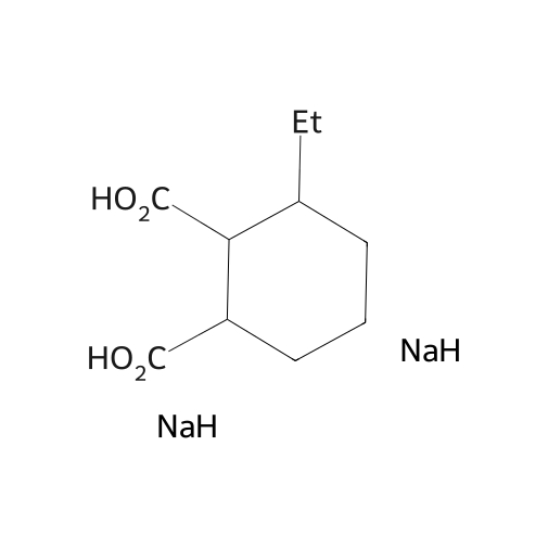 CCC1CCCC(C(=O)O)C1C(=O)O.[NaH].[NaH]